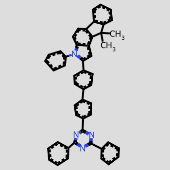 CC1(C)c2ccccc2-c2ccc3c(cc(-c4ccc(-c5ccc(-c6nc(-c7ccccc7)nc(-c7ccccc7)n6)cc5)cc4)n3-c3ccccc3)c21